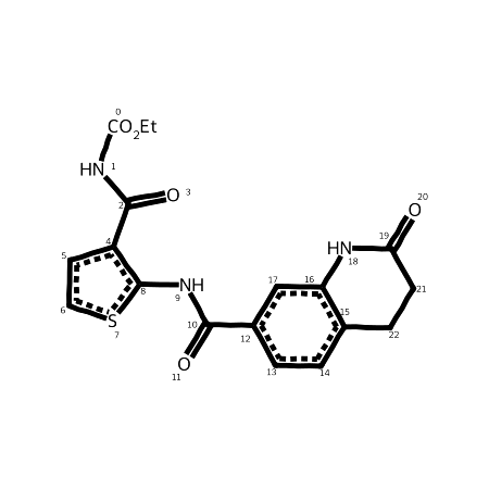 CCOC(=O)NC(=O)c1ccsc1NC(=O)c1ccc2c(c1)NC(=O)CC2